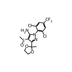 C[S+]([O-])c1c(C2(C)OCCO2)nn(-c2c(Cl)cc(C(F)(F)F)cc2Cl)c1N